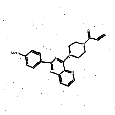 C=CC(=O)N1CCN(c2nc(-c3ccc(OC)cc3)nc3cccnc23)CC1